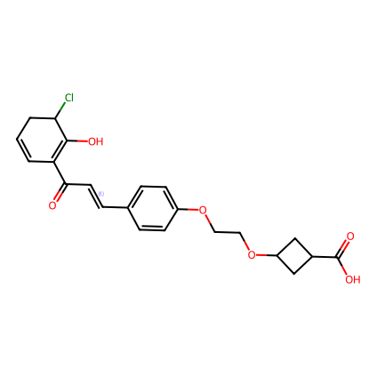 O=C(/C=C/c1ccc(OCCOC2CC(C(=O)O)C2)cc1)C1=C(O)C(Cl)CC=C1